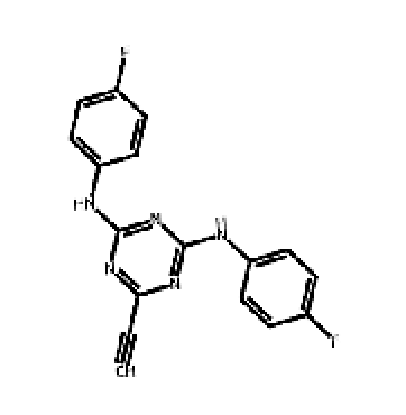 C#Cc1nc(Nc2ccc(F)cc2)nc(Nc2ccc(F)cc2)n1